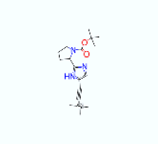 CC(C)(C)OC(=O)N1CCCC1c1ncc(C#C[Si](C)(C)C)[nH]1